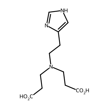 O=C(O)CCN(CCC(=O)O)CCc1c[nH]cn1